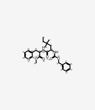 CCC(C)(C)CC(NC(=O)OCc1ccccc1)C(=O)NC(Cc1cccnc1)C(=O)OC